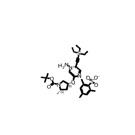 CC[Si](C#Cc1cnc(O[C@@H]2C[C@H](C)N(C(=O)OC(C)(C)C)C2)c[n+]1N)(CC)CC.Cc1cc(C)c(S(=O)(=O)[O-])c(C)c1